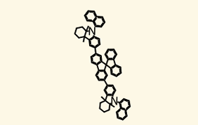 CC12CCCCC1(C)N(c1cccc3ccccc13)c1ccc(-c3ccc4c(c3)C3(c5ccccc5-c5ccccc53)c3cc(-c5ccc6c(c5)C5(C)CCCCC5(C)N6c5cccc6ccccc56)ccc3-4)cc12